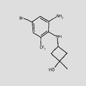 CC1(O)CC(Nc2c(N)cc(Br)cc2C(F)(F)F)C1